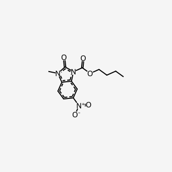 CCCCOC(=O)n1c(=O)n(C)c2ccc([N+](=O)[O-])cc21